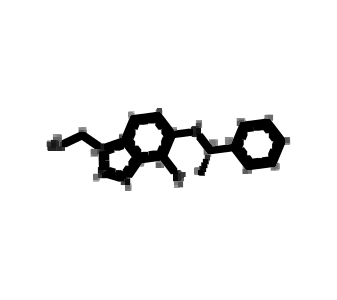 C[C@H](Oc1ccc2c(nnn2CC(C)(C)C)c1Br)c1ccccc1